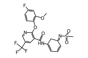 COc1cc(F)ccc1Oc1ncc(C(F)(F)F)cc1C(=O)NC1=CC=CC(=NS(C)(=O)=O)C1